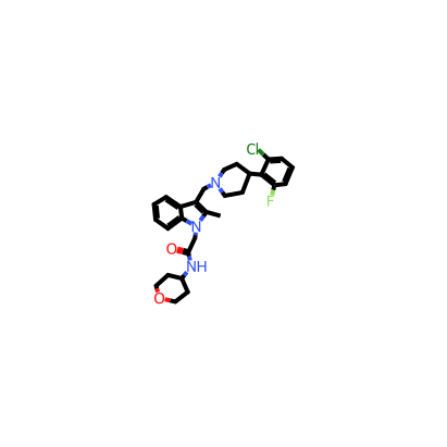 Cc1c(CN2CCC(c3c(F)cccc3Cl)CC2)c2ccccc2n1CC(=O)NC1CCOCC1